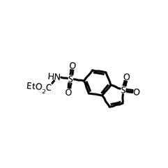 CCOC(=O)NS(=O)(=O)c1ccc2c(c1)C=CS2(=O)=O